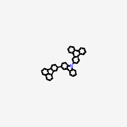 c1cc2c3c(cccc3c1)-c1cc(-c3ccc4c(c3)c3ccccc3n4-c3ccc4c5ccccc5c5ccccc5c4c3)ccc1-2